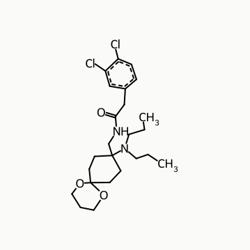 CCCN(CCC)C1(CNC(=O)Cc2ccc(Cl)c(Cl)c2)CCC2(CC1)OCCCO2